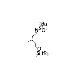 CC(CC=N[S+]([O-])C(C)(C)C)CCO[Si](C)(C)C(C)(C)C